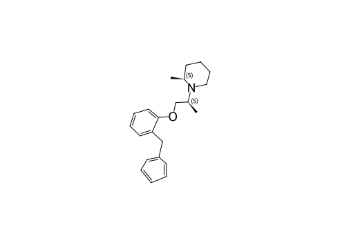 C[C@H]1CCCCN1[C@@H](C)COc1ccccc1Cc1ccccc1